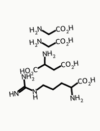 N=C(N)NCCCC(N)C(=O)O.NC(CC(=O)O)C(=O)O.NCC(=O)O.NCC(=O)O